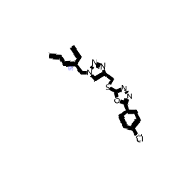 C=C/C=C(\C=C)Cn1cc(CSc2nnc(-c3ccc(Cl)cc3)o2)nn1